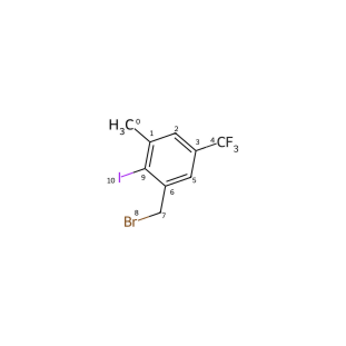 Cc1cc(C(F)(F)F)cc(CBr)c1I